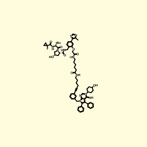 Cc1ncsc1-c1ccc(CNC(=O)[C@@H]2C[C@@H](O)CN2C(=O)[C@@H](NC(=O)C2(F)CC2)C(C)(C)C)c(OCC(=O)NCCCCCC(=O)NCCCCC#Cc2cccc(Cn3c(-c4ccccc4)c(-c4ccccc4)c4c(=N)n(C5CCC(O)CC5)cnc43)c2)c1